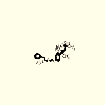 C[C](COCCOc1ccc(C(C)(C)CC(C)(C)C)cc1)Cc1ccccc1